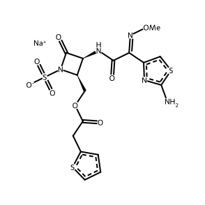 CON=C(C(=O)N[C@@H]1C(=O)N(S(=O)(=O)[O-])[C@@H]1COC(=O)Cc1cccs1)c1csc(N)n1.[Na+]